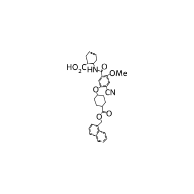 COc1cc(C#N)c(OC2CCC(C(=O)OCc3cccc4ccccc34)CC2)cc1C(=O)NC1CC=CCC1C(=O)O